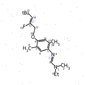 CCN(C)/C=N/c1cc(C)c(OC/C(F)=C/C(C)(C)C)cc1C